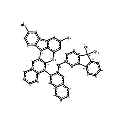 CC(C)(C)c1ccc2c(c1)c1cc(C(C)(C)C)cc3c1n2-c1cc2ccccc2c(-c2cc4ccccc4cc2Nc2ccc4c(c2)-c2ccccc2C4(C)C)c1B3